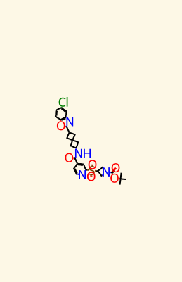 CC(C)(C)OC(=O)N1CC(S(=O)(=O)c2cc(C(=O)NC3CC4(C3)CC(c3nc5cc(Cl)ccc5o3)C4)ccn2)C1